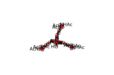 CC(=O)N[C@H]1[C@H]2OC[C@](COCCOCCOCCOCCn3cc(COCC(COCc4cn(CCOCCOCCOCCOC[C@@]56CO[C@@H](O5)[C@H](NC(C)=O)[C@@H](OC(C)=O)[C@H]6OC(C)=O)nn4)(COCc4cn(CCOCCOCCOCCOC[C@@]56CO[C@@H](O5)[C@H](NC(C)=O)[C@@H](OC(C)=O)[C@H]6OC(C)=O)nn4)NC(=O)CCCO)nn3)(O2)[C@H](OC(C)=O)[C@@H]1OC(C)=O